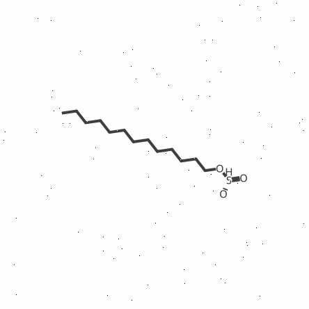 CCCCCCCCCCCCCO[SH](=O)=O